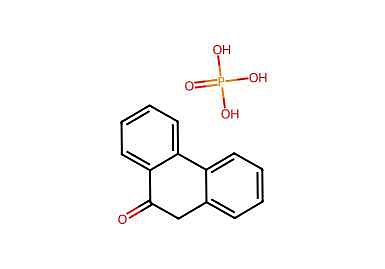 O=C1Cc2ccccc2-c2ccccc21.O=P(O)(O)O